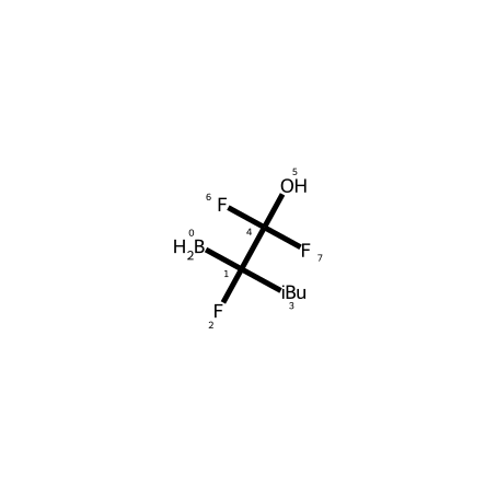 BC(F)(C(C)CC)C(O)(F)F